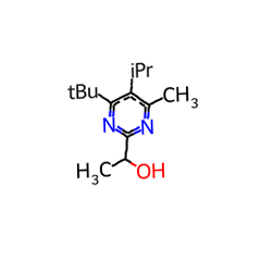 Cc1nc(C(C)O)nc(C(C)(C)C)c1C(C)C